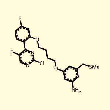 CSCc1cc(N)cc(OCCCCOc2cc(F)ccc2-c2nc(Cl)ncc2F)c1